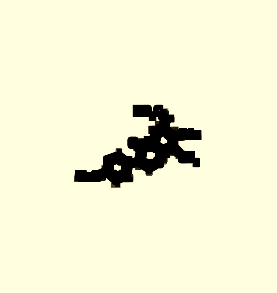 COc1ccc(-c2coc3c(C)c(OC(C)=O)c(CC(=O)O)cc3c2=O)cc1